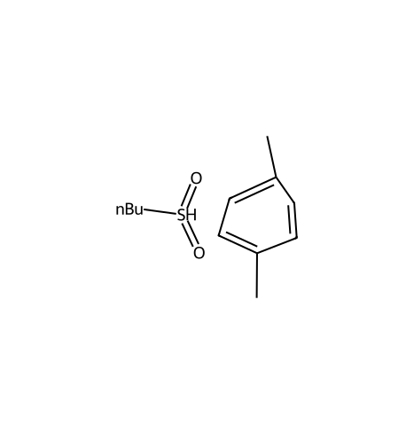 CCCC[SH](=O)=O.Cc1ccc(C)cc1